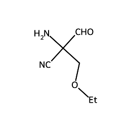 CCOCC(N)(C#N)C=O